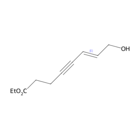 CCOC(=O)CCC#C/C=C/CO